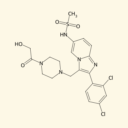 CS(=O)(=O)Nc1ccc2nc(-c3ccc(Cl)cc3Cl)c(CN3CCN(C(=O)CO)CC3)n2c1